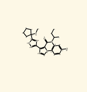 CCC(C)n1c(=O)c2c(-c3noc(C4(OC)CCCC4)n3)ncn2c2ccc(Cl)cc21